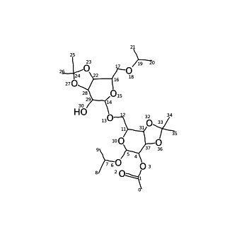 CC(=O)OC1C(OC(C)C)OC(COC2OC(COC(C)C)C3OC(C)(C)OC3C2O)C2OC(C)(C)OC21